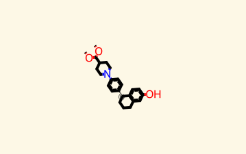 COC(OC)C1CCN(c2ccc([C@H]3CCCc4cc(O)ccc43)cc2)CC1